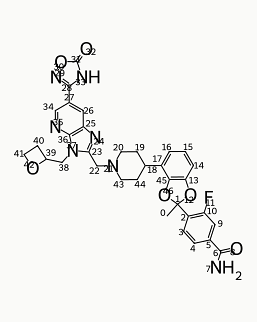 CC1(c2ccc(C(N)=O)cc2F)Oc2cccc(C3CCN(Cc4nc5cc(-c6noc(=O)[nH]6)cnc5n4CC4CCO4)CC3)c2O1